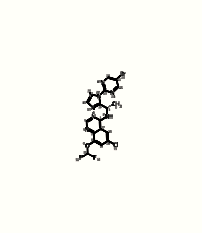 C[C@H](Nc1ncnc2c(OC(F)F)cc(Cl)cc12)c1ncnn1-c1ncc(Br)cn1